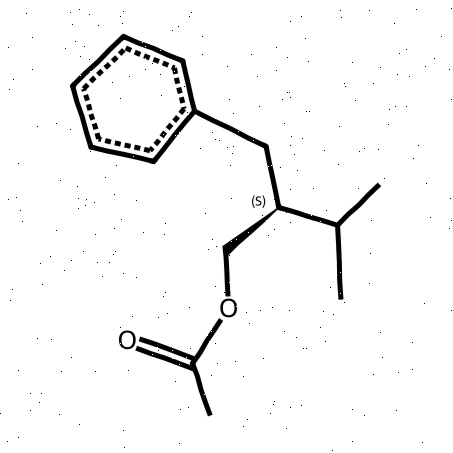 CC(=O)OC[C@@H](Cc1ccccc1)C(C)C